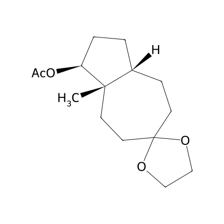 CC(=O)O[C@H]1CC[C@@H]2CCC3(CC[C@@]21C)OCCO3